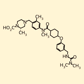 Cc1cc(N(C)C(=O)C2CCC(Oc3cccc(CNC(=O)N(C)C)c3)CC2)ccc1CN1CCN(C(=O)O)[C@@H](C)C1